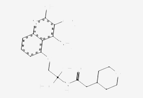 CCOC(=O)c1c(C)nc2cccc(OCC(C)(C)NC(=O)CC3CCOCC3)c2c1N